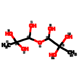 CC(O)(O)C(O)OC(O)C(C)(O)O